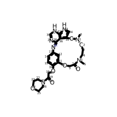 CN1CCCN(C)C(=O)COc2cc(ccc2OCC(=O)N2CCOCC2)/N=C2/N=CNc3[nH]cc(c32)C1